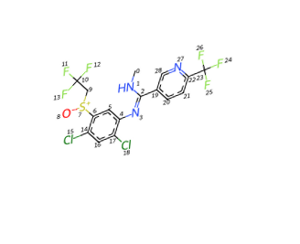 CN/C(=N\c1cc([S+]([O-])CC(F)(F)F)c(Cl)cc1Cl)c1ccc(C(F)(F)F)nc1